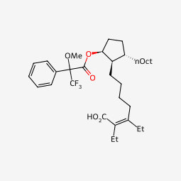 CCCCCCCC[C@H]1CC[C@H](OC(=O)C(OC)(c2ccccc2)C(F)(F)F)[C@@H]1CCCCC(CC)=C(CC)C(=O)O